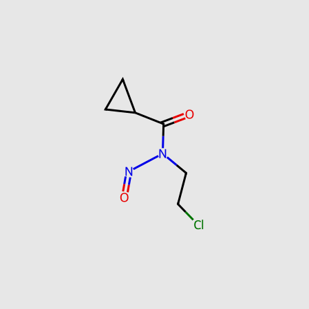 O=NN(CCCl)C(=O)C1CC1